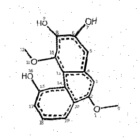 COc1cc2cc(O)c(O)c(OC)c2c2c(O)cccc12